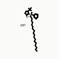 CCCCCCCCCCCCCCCCCC[Si](C)(C1=[C]([Ti+3])CC=C1C(C)(C)C)c1ccccc1.[Cl-].[Cl-].[Cl-]